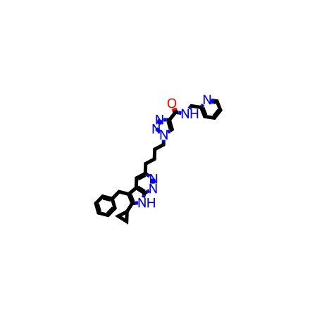 O=C(NCc1ccccn1)c1cn(CCCCc2cc3c(Cc4ccccc4)c(C4CC4)[nH]c3nn2)nn1